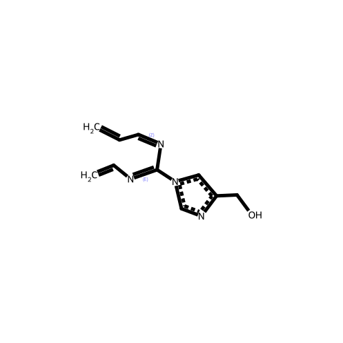 C=C/C=N\C(=N/C=C)n1cnc(CO)c1